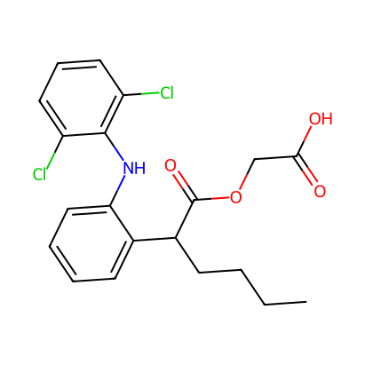 CCCCC(C(=O)OCC(=O)O)c1ccccc1Nc1c(Cl)cccc1Cl